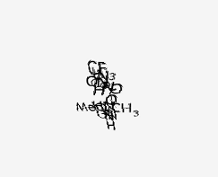 COc1c(N[C@@H](C)COCCC(=O)N2CCN3c4ncc(C(F)(F)F)cc4OCC[C@@H]3C2)cn[nH]c1=O